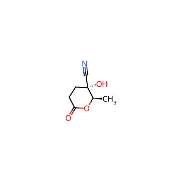 C[C@H]1OC(=O)CC[C@@]1(O)C#N